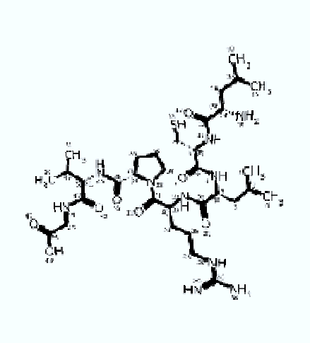 CC(C)C[C@H](NC(=O)[C@H](CS)NC(=O)[C@@H](N)CC(C)C)C(=O)N[C@@H](CCCNC(=N)N)C(=O)N1CCC[C@H]1C(=O)N[C@H](C(=O)NCC(=O)O)C(C)C